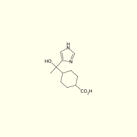 CC(O)(c1c[nH]cn1)C1CCC(C(=O)O)CC1